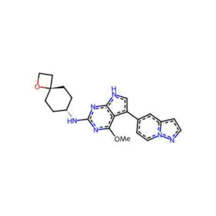 COc1nc(N[C@H]2CC[C@@]3(CCO3)CC2)nc2[nH]cc(-c3ccn4nccc4c3)c12